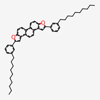 CCCCCCCCCCc1cccc(-c2cc3c(ccc4c3ccc3c5cc(-c6cccc(CCCCCCCCCC)c6)oc5ccc34)o2)c1